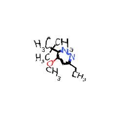 CCc1cc(OC)c(C(C)(C)C)nn1